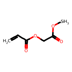 C=CC(=O)OCC(=O)O[SiH3]